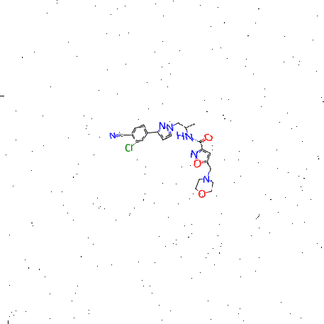 CC(Cn1ccc(-c2ccc(C#N)c(Cl)c2)n1)NC(=O)c1cc(CN2CCOCC2)on1